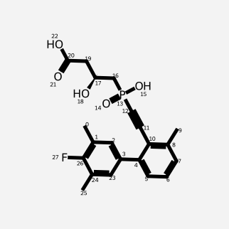 Cc1cc(-c2cccc(C)c2C#CP(=O)(O)C[C@@H](O)CC(=O)O)cc(C)c1F